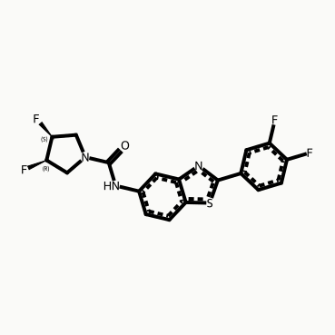 O=C(Nc1ccc2sc(-c3ccc(F)c(F)c3)nc2c1)N1C[C@@H](F)[C@@H](F)C1